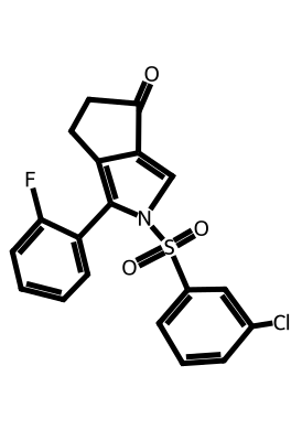 O=C1CCc2c1cn(S(=O)(=O)c1cccc(Cl)c1)c2-c1ccccc1F